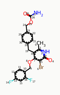 Cc1[nH]c(=O)c(Br)c(OCc2ccc(F)cc2F)c1Cc1ccc(COC(N)=O)cc1